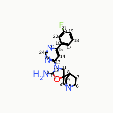 NC1OC2(CN3CCC2CC3)CN1c1cc(-c2cccc(F)c2)ncn1